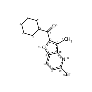 Cc1c(C(=O)C2CCCCC2)oc2ccc(Br)nc12